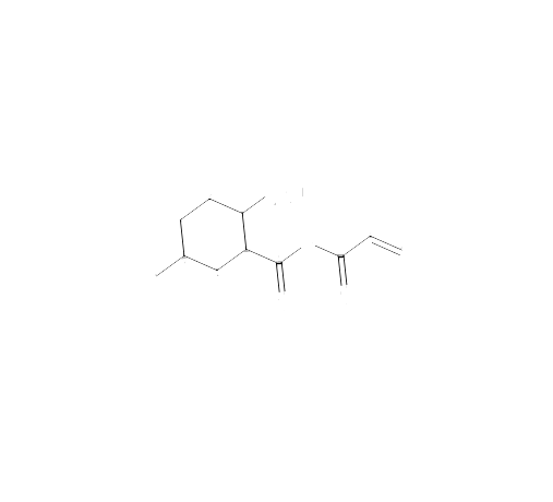 C=CC(=O)OC(=O)C1CC(C)CCC1C(=O)O